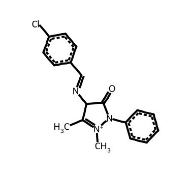 CC1=[N+](C)N(c2ccccc2)C(=O)C1N=Cc1ccc(Cl)cc1